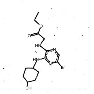 CCOC(=O)CNc1ncc(Br)nc1NC1CCC(O)CC1